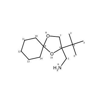 CC(C)(C)C1(CN)COC2(CCCCC2)O1